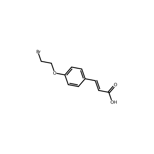 O=C(O)C=Cc1ccc(OCCBr)cc1